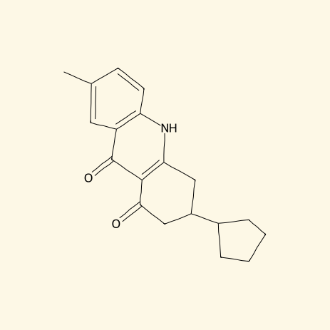 Cc1ccc2[nH]c3c(c(=O)c2c1)C(=O)CC(C1CCCC1)C3